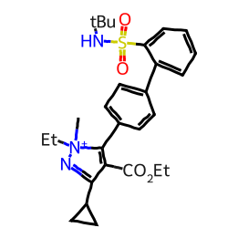 CCOC(=O)C1=C(c2ccc(-c3ccccc3S(=O)(=O)NC(C)(C)C)cc2)[N+](C)(CC)N=C1C1CC1